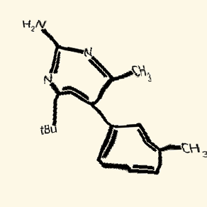 Cc1cccc(-c2c(C)nc(N)nc2C(C)(C)C)c1